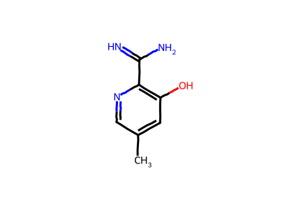 Cc1cnc(C(=N)N)c(O)c1